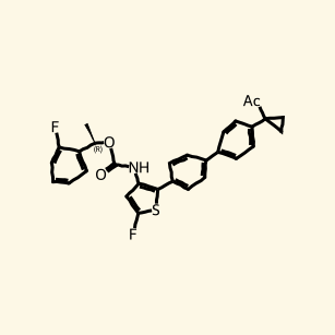 CC(=O)C1(c2ccc(-c3ccc(-c4sc(F)cc4NC(=O)O[C@H](C)c4ccccc4F)cc3)cc2)CC1